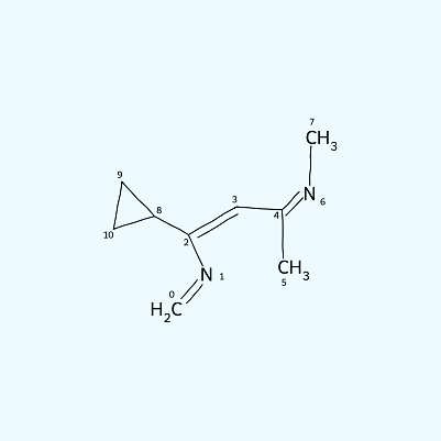 C=N/C(=C\C(C)=N/C)C1CC1